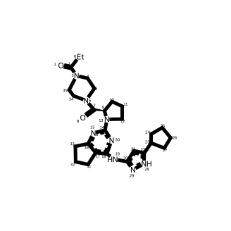 CCC(=O)N1CCN(C(=O)[C@H]2CCCN2c2nc3c(c(Nc4cc(C5CCCC5)[nH]n4)n2)CCC3)CC1